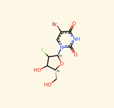 O=c1[nH]c(=O)n([C@H]2O[C@H](CO)C(O)C2F)cc1Br